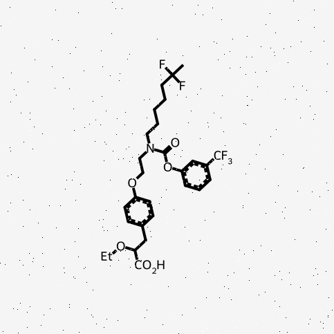 CCOC(Cc1ccc(OCCN(CCCCCC(C)(F)F)C(=O)Oc2cccc(C(F)(F)F)c2)cc1)C(=O)O